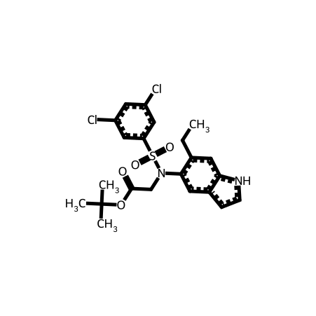 CCc1cc2[nH]ccc2cc1N(CC(=O)OC(C)(C)C)S(=O)(=O)c1cc(Cl)cc(Cl)c1